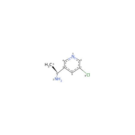 C[C@H](N)c1cncc(Cl)c1